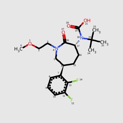 COCCN1C[C@H](c2cccc(F)c2F)CC[C@@H](N(C(=O)O)C(C)(C)C)C1=O